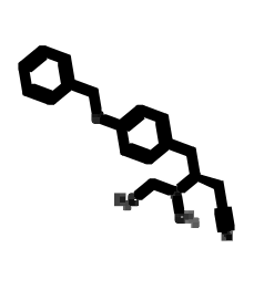 CCN(C)[C@H](CC#N)Cc1ccc(OCc2ccccc2)cc1